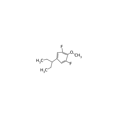 CCC(CC)c1cc(F)c(OC)c(F)c1